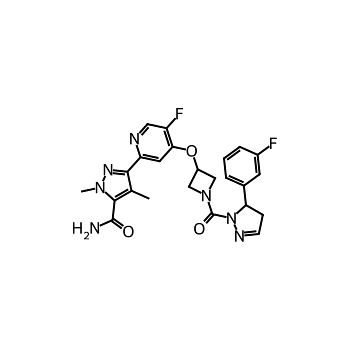 Cc1c(-c2cc(OC3CN(C(=O)N4N=CCC4c4cccc(F)c4)C3)c(F)cn2)nn(C)c1C(N)=O